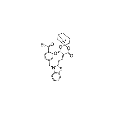 CCC(=O)c1ccc(CN2/C(=C/C=C3C(=O)OC4(OC3=O)C3CC5CC(C3)CC4C5)Sc3ccccc32)cc1